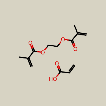 C=C(C)C(=O)OCCOC(=O)C(=C)C.C=CC(=O)O